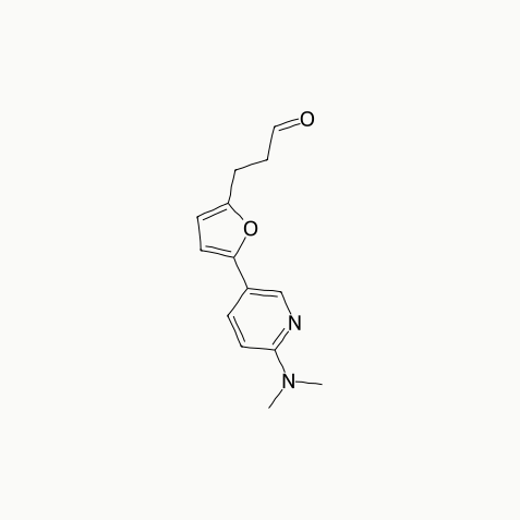 CN(C)c1ccc(-c2ccc(CCC=O)o2)cn1